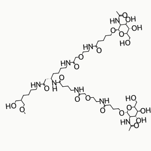 COCC(CO)CCCCNC(=O)C[C@H](CCCCNC(=O)COCCNC(=O)CCCCO[C@@H]1OC(CO)[C@@H](O)[C@H](O)C1NC(C)=O)NC(=O)CCCNC(=O)COCCNC(=O)CCCO[C@@H]1OC(CO)[C@@H](O)[C@H](O)C1NC(C)=O